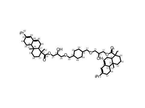 CC(C)C1=CC2=CCC3C(C)(C(=O)OCC(O)COCC4CCC(COCC(O)COC(=O)C5(C)CCCC6(C)C7CCC(C(C)C)=CC7=CCC56)CC4)CCCC3(C)C2CC1